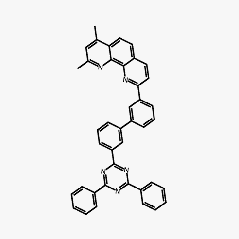 Cc1cc(C)c2ccc3ccc(-c4cccc(-c5cccc(-c6nc(-c7ccccc7)nc(-c7ccccc7)n6)c5)c4)nc3c2n1